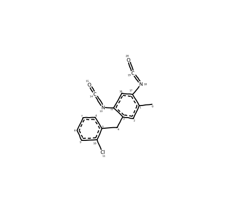 Cc1cc(Cc2ccccc2Cl)c(N=C=O)cc1N=C=O